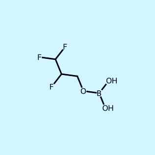 OB(O)OCC(F)C(F)F